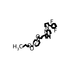 CCCCOC(=O)N1CCCN(C(=O)/C=C/c2cnn3ccc(N4CCCC4c4cc(F)ccc4F)nc23)CC1